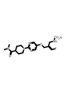 CN(C)C(=O)C1CCN(c2ncc(OC/C(=C/F)CNC(=O)O)cn2)CC1